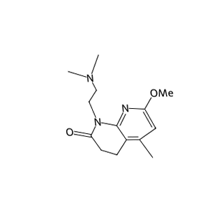 COc1cc(C)c2c(n1)N(CCN(C)C)C(=O)CC2